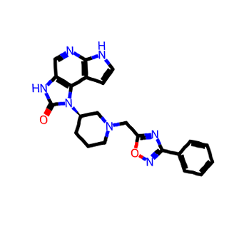 O=c1[nH]c2cnc3[nH]ccc3c2n1[C@@H]1CCCN(Cc2nc(-c3ccccc3)no2)C1